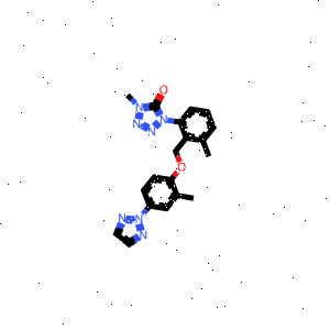 Cc1cc(-n2nccn2)ccc1OCc1c(C)cccc1-n1nnn(C)c1=O